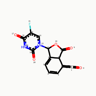 O=C=C1C=CC=C2C1C(=O)OC2n1cc(F)c(=O)[nH]c1=O